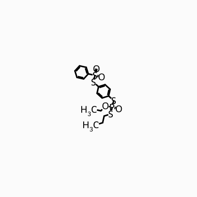 CCCSP(=O)(OCC)Sc1ccc(SS(=O)(=O)c2ccccc2)cc1